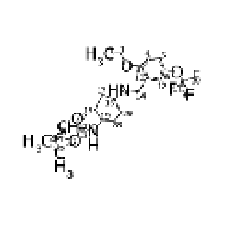 CCOc1ccc(OC(F)(F)F)cc1CNC1CCC(NC(=O)OC(C)(C)C)CC1